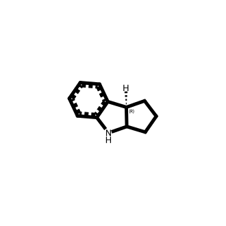 c1ccc2c(c1)NC1CCC[C@H]21